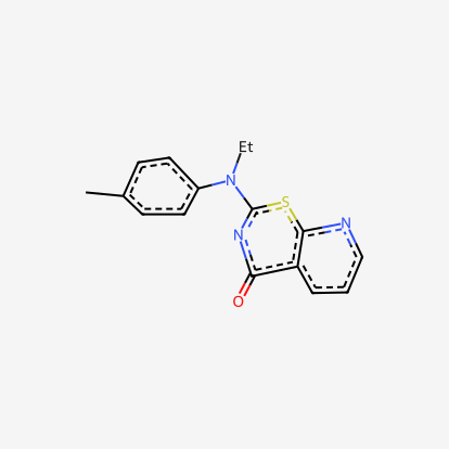 CCN(c1ccc(C)cc1)c1nc(=O)c2cccnc2s1